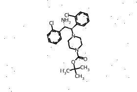 CC(C)(C)OC(=O)N1CCN([C@H](c2ccccc2Cl)[C@@H](N)c2ccccc2Cl)CC1